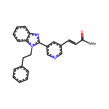 CNC(=O)/C=C/c1cncc(-c2nc3ccccc3n2CCc2ccccc2)c1